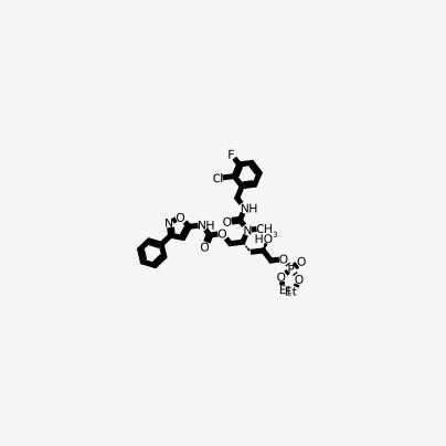 CCOP(=O)(OCC)OC[C@H](O)C[C@H](COC(=O)Nc1cc(-c2ccccc2)no1)N(C)C(=O)NCc1cccc(F)c1Cl